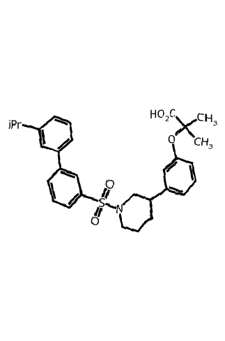 CC(C)c1cccc(-c2cccc(S(=O)(=O)N3CCCC(c4cccc(OC(C)(C)C(=O)O)c4)C3)c2)c1